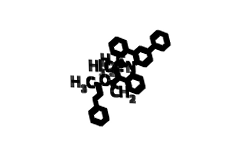 C=C(O/C(C)=C/Cc1ccccc1)/C(=C\C)c1ccccc1N(C(=C)C)c1ccc(-c2ccccc2)cc1-c1ccccc1